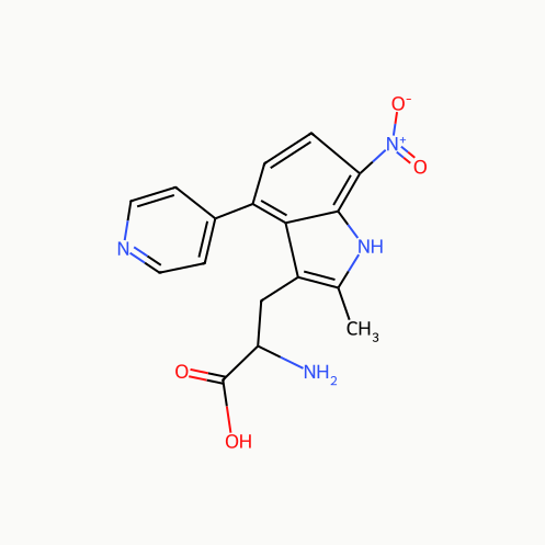 Cc1[nH]c2c([N+](=O)[O-])ccc(-c3ccncc3)c2c1CC(N)C(=O)O